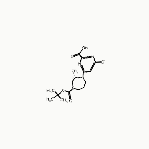 C[C@H]1CN(C(=O)OC(C)(C)C)CCCN1c1cc(Cl)nc(C(=O)O)n1